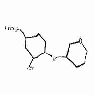 CCCC1CC(C(=O)O)CC[C@H]1OC1CCCOC1